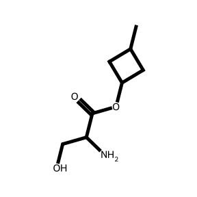 CC1CC(OC(=O)C(N)CO)C1